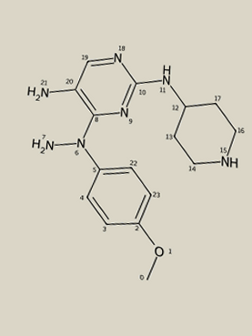 COc1ccc(N(N)c2nc(NC3CCNCC3)ncc2N)cc1